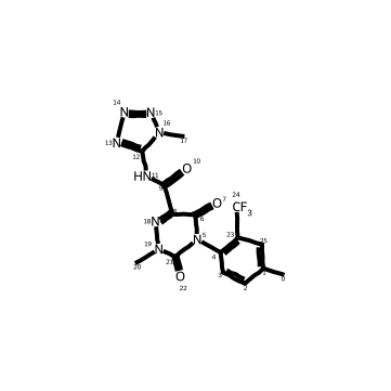 Cc1ccc(-n2c(=O)c(C(=O)Nc3nnnn3C)nn(C)c2=O)c(C(F)(F)F)c1